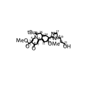 COC(=O)c1cn2c(cc1=O)-c1cc(OC)c(-c3ncn(CCCO)n3)cc1CC2C(C)(C)C